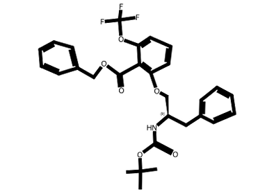 CC(C)(C)OC(=O)N[C@@H](COc1cccc(OC(F)(F)F)c1C(=O)OCc1ccccc1)Cc1ccccc1